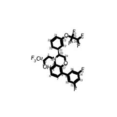 O[C@@H](CN1c2cccc(-c3cc(F)cc(F)c3)c2OCC1[C@@H]1C=C(OC(F)(F)C(F)F)C=CC1)C(F)(F)F